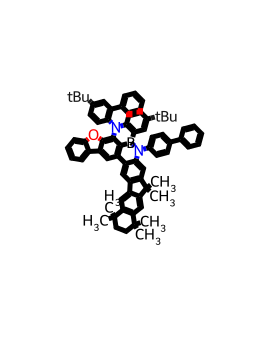 CC(C)(C)c1ccc2c(c1)B1c3c(cc4c(oc5ccccc54)c3N2c2ccc(C(C)(C)C)cc2-c2ccccc2)-c2cc3c(cc2N1c1ccc(-c2ccccc2)cc1)C(C)(C)c1cc2c(cc1-3)C(C)(C)CCC2(C)C